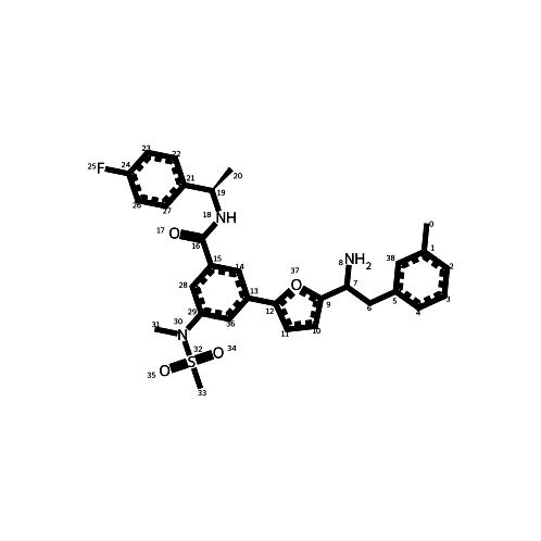 Cc1cccc(CC(N)c2ccc(-c3cc(C(=O)N[C@H](C)c4ccc(F)cc4)cc(N(C)S(C)(=O)=O)c3)o2)c1